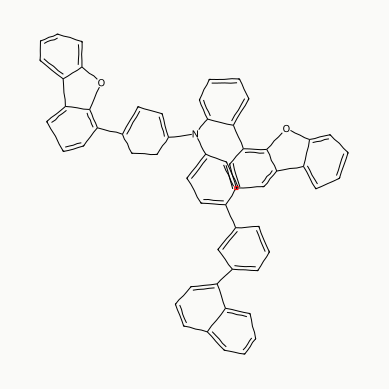 c1cc2c(oc3ccccc32)c(-c2ccccc2N(C2=CC=C(c3cccc4c3oc3ccccc34)CC2)c2ccc(-c3cccc(-c4cccc5ccccc45)c3)cc2)c#1